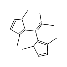 CC1=[C]([Ti]([C]2=C(C)C=CC2C)=[Si](C)C)C(C)C=C1